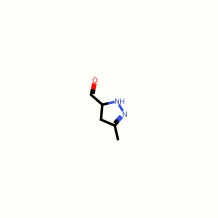 CC1=NNC(C=O)C1